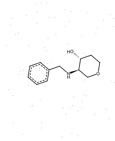 O[C@@H]1CCOC[C@H]1NCc1ccccc1